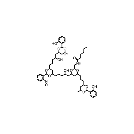 CCCCCC(=O)NCC1OC(CCCC2CC(C)OC(c3ccccc3O)O2)CC(CC(O)CCCC2CC(CCCC(O)CC3C[C@H](C)OC(c4ccccc4O)O3)OC(c3ccccc3N=O)O2)O1